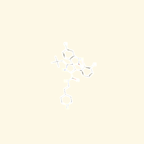 CC(C)(C)C[C@H]1N[C@@H](C(=O)NCCC2CCNCC2)[C@H](c2cccc(Cl)c2F)[C@@]12C(=O)Nc1cc(Cl)ccc12